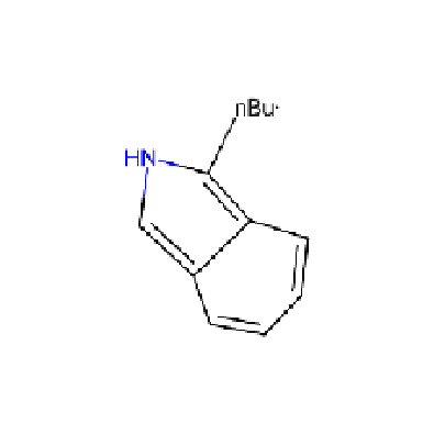 CCC[CH]c1[nH]cc2ccccc12